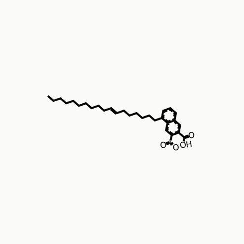 CCCCCCCCCCC=CCCCCCCc1cccc2cc(C(=O)O)c(I(=O)=O)cc12